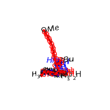 CC[C@H](C)[C@@H]([C@@H](CC(=O)N1CCC[C@H]1[C@H](C)[C@@H](C)C(=O)N[C@H](C)[C@@H](O)c1ccccc1)OC)N(C)C(=O)[C@@H](NC(=O)[C@H](C(C)C)N(C)C(=O)OCc1ccc(O[C@@H]2O[C@H](C(=O)O)[C@@H](O)[C@H](O)[C@H]2O)c(NC(=O)CCNC(=O)[C@H](CCCCNC(=O)CCOCCOCCOCCOCCOCCOCCOCCOCCOCCOCCOCCOC)NC(=O)[C@H](CNC(=O)OC(C)(C)C)N2C(=O)C=CC2=O)c1)C(C)C